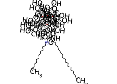 CCCCCCCCCCCCC/C=C/[C@@H](O)[C@H](CO[C@@H]1OC(CO)[C@@H](O[C@@H]2OC(CO)[C@H](O)[C@H](O[C@@H]3OC(CO)[C@@H](O)[C@H](O[C@@H]4OC(CO)[C@H](O)[C@H](O[C@@H]5OC(CO)[C@@H](O[C@H]6OC(C)[C@@H](O)C(O)[C@@H]6O)[C@H](O[C@@H]6OC(CO)[C@H](O)[C@H](O)C6O)C5NC(C)=O)C4O)C3NC(C)=O)C2O)[C@H](O)C1O)NC(=O)CCCCCCCCCCCCCCCCCCC